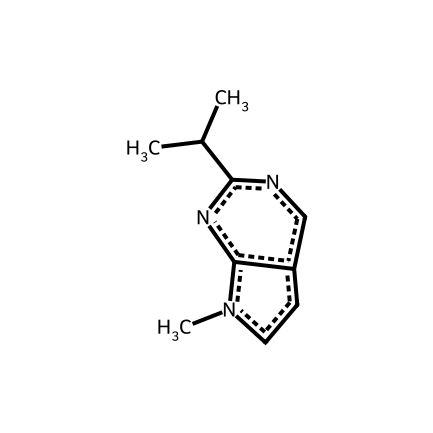 CC(C)c1ncc2ccn(C)c2n1